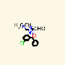 CN(C)Cc1nc(C=O)nn1-c1ccc(Cl)cc1C(=O)c1ccccc1